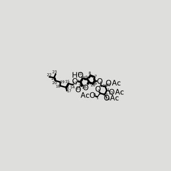 CC(=O)OC[C@H]1O[C@@H](Oc2ccc3c(O)c(OC/C=C(\C)CCC=C(C)C)c(=O)oc3c2)[C@H](OC(C)=O)[C@@H](OC(C)=O)[C@H]1OC(C)=O